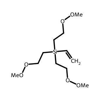 C=C[Si](CCOOC)(CCOOC)CCOOC